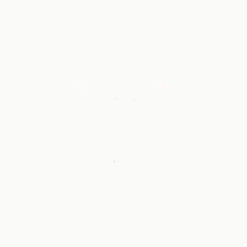 Nc1cc(C(F)(F)F)c(-c2cc(N3CCC(O)CC3)nc(N3CCOCC3)n2)cn1